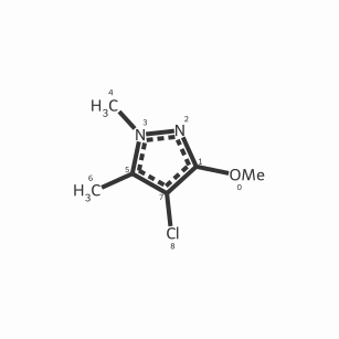 COc1nn(C)c(C)c1Cl